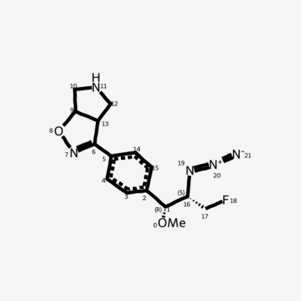 CO[C@H](c1ccc(C2=NOC3CNCC23)cc1)[C@@H](CF)N=[N+]=[N-]